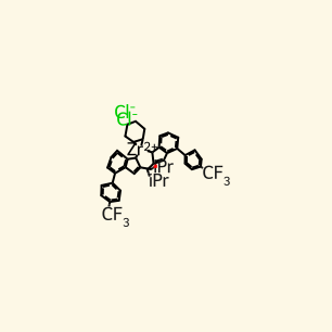 CC(C)CC1=Cc2c(-c3ccc(C(F)(F)F)cc3)cccc2[CH]1[Zr+2]1([CH]2C(CC(C)C)=Cc3c(-c4ccc(C(F)(F)F)cc4)cccc32)[CH]2CCCC[CH]21.[Cl-].[Cl-]